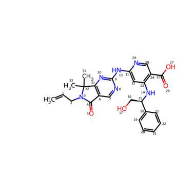 C=CCN1C(=O)c2cnc(Nc3cc(N[C@H](CO)c4ccccc4)c(C(=O)O)cn3)nc2C1(C)C